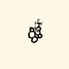 FC(F)(F)c1cc2n(n1)C1(c3ccccc3C=Cc3ccccc31)c1ccccc1-2